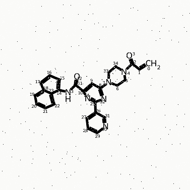 C=CC(=O)N1CCN(c2cc(C(=O)Nc3cccc4ccccc34)nc(-c3cccnc3)n2)CC1